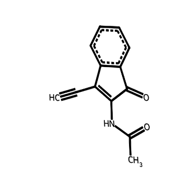 C#CC1=C(NC(C)=O)C(=O)c2ccccc21